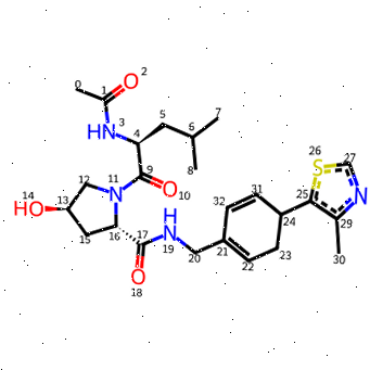 CC(=O)N[C@@H](CC(C)C)C(=O)N1C[C@H](O)C[C@H]1C(=O)NCC1=CCC(c2scnc2C)C=C1